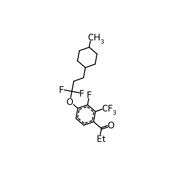 CCC(=O)c1ccc(OC(F)(F)CCC2CCC(C)CC2)c(F)c1C(F)(F)F